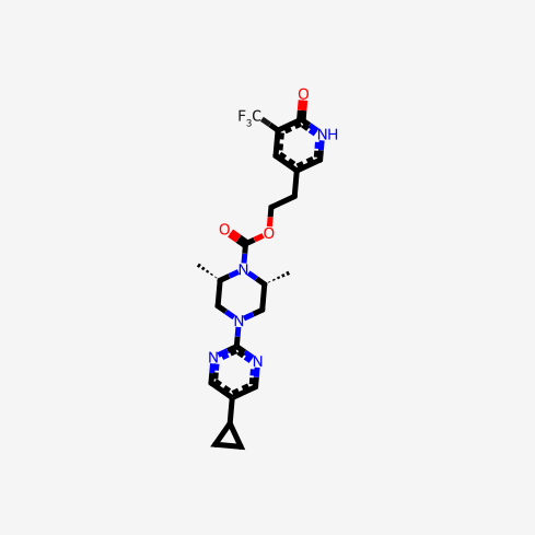 C[C@@H]1CN(c2ncc(C3CC3)cn2)C[C@H](C)N1C(=O)OCCc1c[nH]c(=O)c(C(F)(F)F)c1